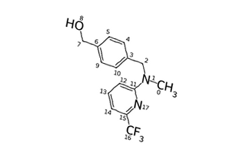 CN(Cc1ccc(CO)cc1)c1cccc(C(F)(F)F)n1